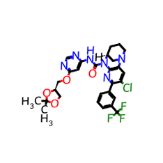 CC1(C)OC[C@H](COc2cc(NC(=O)N3c4nc(-c5cccc(C(F)(F)F)c5)c(Cl)cc4N4CCC[C@H]3C4)ncn2)O1